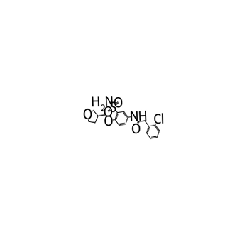 NS(=O)(=O)c1cc(NC(=O)Cc2ccccc2Cl)ccc1OCC1CCOC1